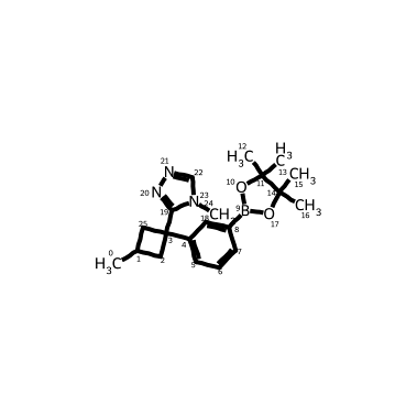 CC1CC(c2cccc(B3OC(C)(C)C(C)(C)O3)c2)(c2nncn2C)C1